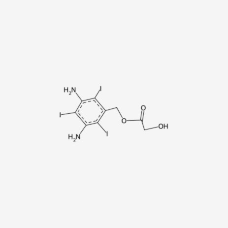 Nc1c(I)c(N)c(I)c(COC(=O)CO)c1I